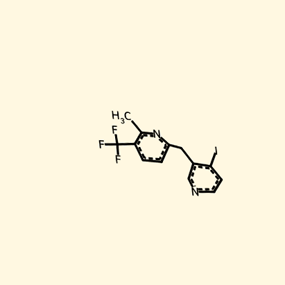 Cc1nc(Cc2cnccc2I)ccc1C(F)(F)F